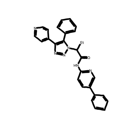 CCC(C(=O)Nc1ccc(-c2ccccc2)cn1)n1nnc(-c2ccncc2)c1-c1ccccc1